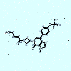 Cn1cnc2c(-c3ccc(OC(F)(F)F)cc3)cn(C3CN(C(=O)C=CCO)C3)c(=O)c21